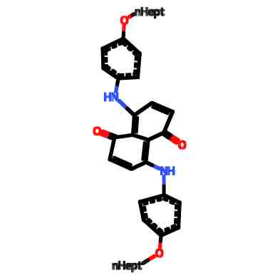 CCCCCCCOc1ccc(NC2=C3C(=O)C=CC(Nc4ccc(OCCCCCCC)cc4)=C3C(=O)C=C2)cc1